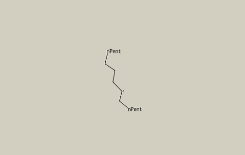 CCCCCC[C]CCCCCCCC